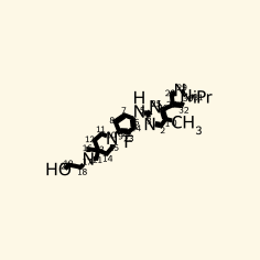 Cc1cnc(Nc2ccc(N3CCC4(CC3)CN(CCO)C4)c(F)c2)nc1-c1cnn(C(C)C)c1